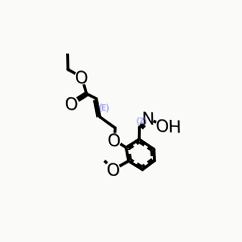 CCOC(=O)/C=C/COc1c(/C=N\O)cccc1OC